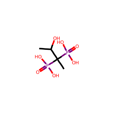 CC(O)C(C)(P(=O)(O)O)P(=O)(O)O